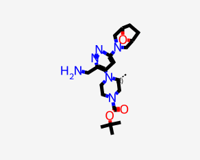 C[C@@H]1CN(C(=O)OC(C)(C)C)CCN1c1cc(N2CC3CCC(C2)O3)nnc1CN